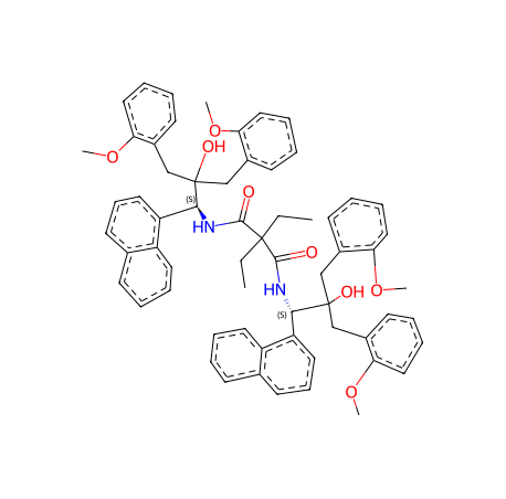 CCC(CC)(C(=O)N[C@@H](c1cccc2ccccc12)C(O)(Cc1ccccc1OC)Cc1ccccc1OC)C(=O)N[C@@H](c1cccc2ccccc12)C(O)(Cc1ccccc1OC)Cc1ccccc1OC